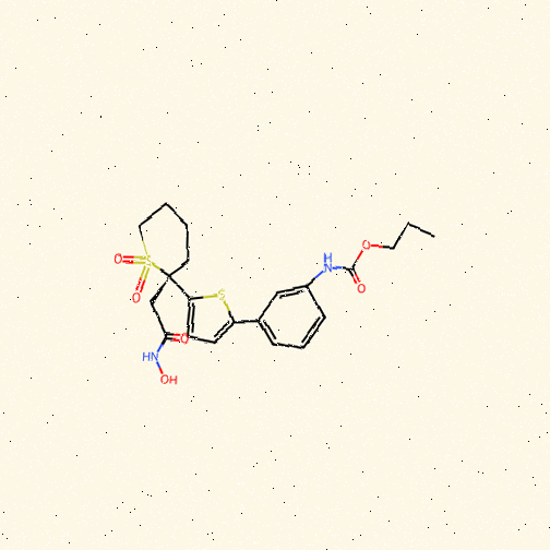 CCCOC(=O)Nc1cccc(-c2ccc([C@@]3(CC(=O)NO)CCCCS3(=O)=O)s2)c1